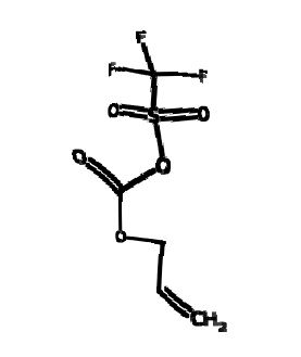 C=CCOC(=O)OS(=O)(=O)C(F)(F)F